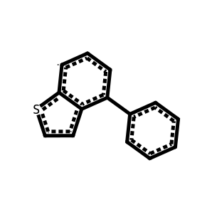 [c]1ccc(-c2ccccc2)c2ccsc12